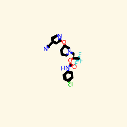 N#Cc1ccnc(OC2CCCN(C[C@H](OC(=O)Nc3ccc(Cl)cc3)C(F)(F)F)C2)c1